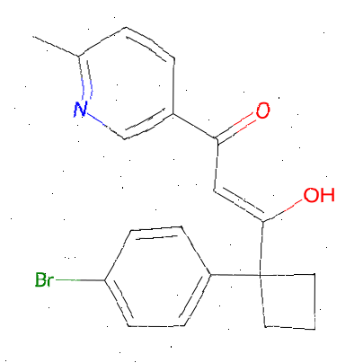 Cc1ccc(C(=O)/C=C(\O)C2(c3ccc(Br)cc3)CCC2)cn1